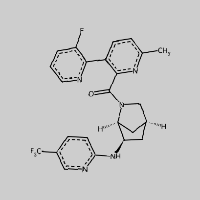 Cc1ccc(-c2ncccc2F)c(C(=O)N2C[C@H]3C[C@@H](Nc4ccc(C(F)(F)F)cn4)[C@@H]2C3)n1